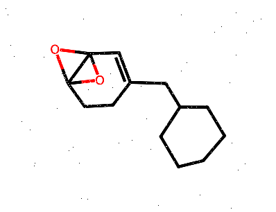 C1=C(CC2CCCCC2)CCC23OC12O3